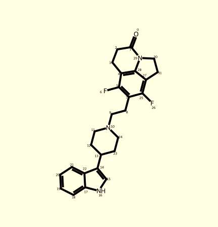 O=C1CCc2c(F)c(CCN3CCC(c4c[nH]c5ccccc45)CC3)c(F)c3c2N1CC3